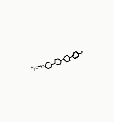 CCC[C@H]1CC[C@H]([C@H]2CC[C@H](C3C[CH]C(c4ccc(F)cc4)CC3)CC2)CC1